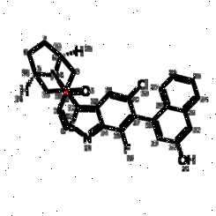 C=CC(=O)N1[C@@H]2CC[C@H]1CC(c1snc3c(F)c(-c4cc(O)cc5ccccc45)c(Cl)cc13)C2